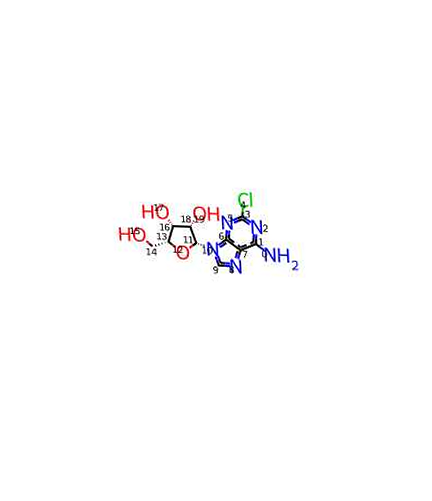 Nc1nc(Cl)nc2c1ncn2[C@@H]1O[C@H](CO)[C@H](O)[C@@H]1O